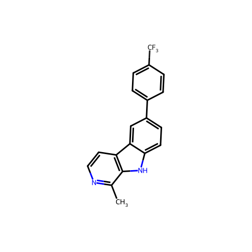 Cc1nccc2c1[nH]c1ccc(-c3ccc(C(F)(F)F)cc3)cc12